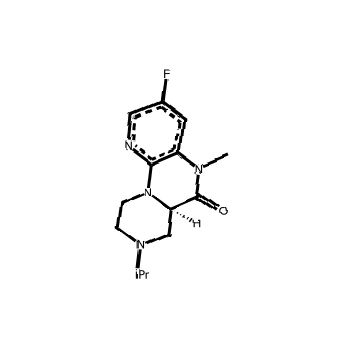 CC(C)N1CCN2c3ncc(F)cc3N(C)C(=O)[C@H]2C1